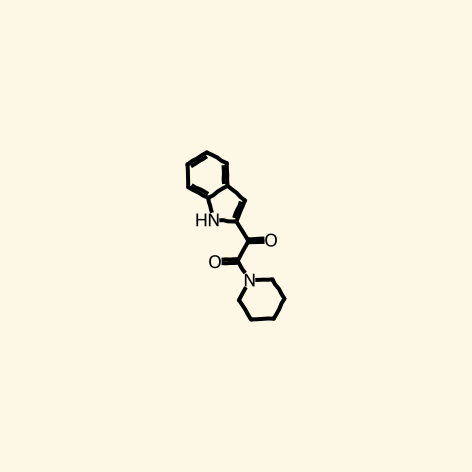 O=C(C(=O)N1CCCCC1)c1cc2ccccc2[nH]1